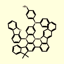 CCCCc1ccc(N(c2ccccc2)c2ccc3c(c2)B2c4c(cc5c(c4N3c3cccc4c3oc3ccccc34)-c3ccccc3C5(C)C)-c3cccc4c5cc6ccccc6cc5n2c34)cc1